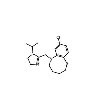 CC(C)N1CCN=C1CN1CCCCSc2ccc(Cl)cc21